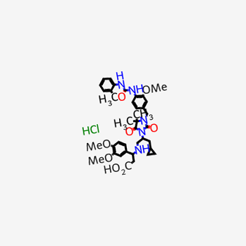 COc1cc(CN2C(=O)N(C(CNC(CC(=O)O)c3ccc(OC)c(OC)c3)CC3CC3)C(=O)C2(C)C)ccc1NC(=O)Nc1ccccc1C.Cl